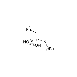 CC(C)(C)CCCC(C)(C)C.O=S(=O)(O)O